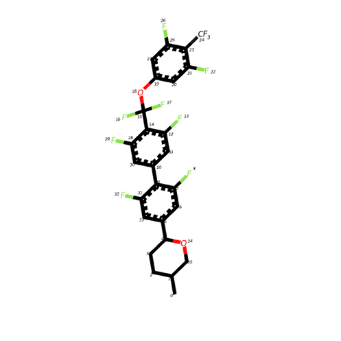 CC1CCC(c2cc(F)c(-c3cc(F)c(C(F)(F)Oc4cc(F)c(C(F)(F)F)c(F)c4)c(F)c3)c(F)c2)OC1